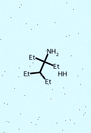 CCC(CC)C(N)(CC)CC.[HH]